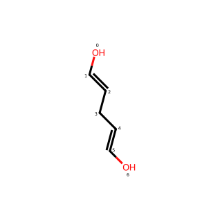 OC=CCC=CO